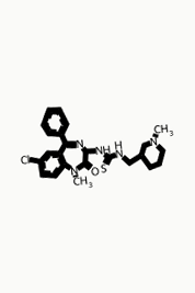 CN1CCCC(CNC(=S)NC2N=C(c3ccccc3)c3cc(Cl)ccc3N(C)C2=O)C1